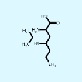 CCC.CCCC(S)CC(N)C(=O)O